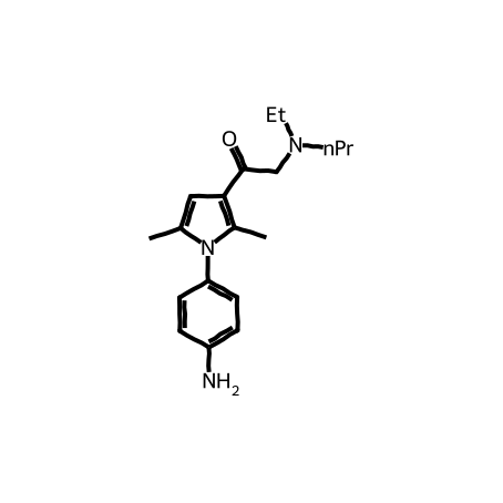 CCCN(CC)CC(=O)c1cc(C)n(-c2ccc(N)cc2)c1C